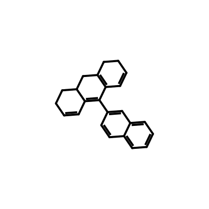 C1=CC2=C(CC1)CC1CCC=CC1=C2c1ccc2ccccc2c1